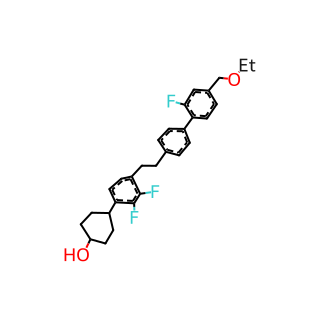 CCOCc1ccc(-c2ccc(CCc3ccc(C4CCC(O)CC4)c(F)c3F)cc2)c(F)c1